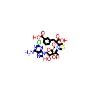 C=C(C)[C@@]1(O)[C@@H](COC(Cc2cccc(C(=O)O)c2)(C(=O)O)c2cscn2)O[C@@H](n2cnc3c(N)nc(Cl)nc32)[C@@H]1O